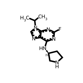 CC(C)n1cnc2c(N[C@H]3CCNC3)nc(F)nc21